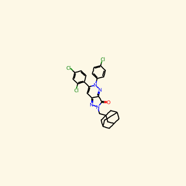 O=c1c2nn(-c3ccc(Cl)cc3)c(-c3ccc(Cl)cc3Cl)cc-2nn1CC12CC3CC(CC(C3)C1)C2